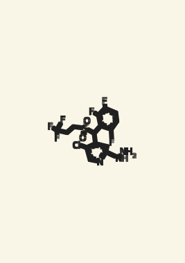 NNc1cc(C(c2c(F)ccc(F)c2F)S(=O)(=O)CCC(F)(F)F)c(Cl)cn1